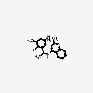 Cc1nc(NC(C)c2cc(N)cc(C)c2F)c2ccccc2n1